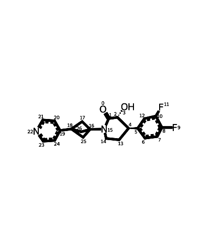 O=C1[C@H](O)[C@@H](c2ccc(F)c(F)c2)CCN1C12CC(c3ccncc3)(C1)C2